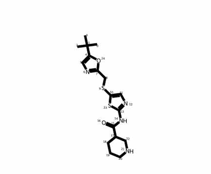 CC(C)(C)c1cnc(CSc2cnc(NC(=O)C3CCCNC3)s2)o1